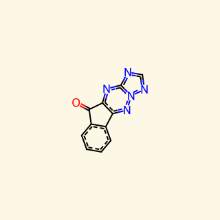 O=C1c2ccccc2-c2nn3ncnc3nc21